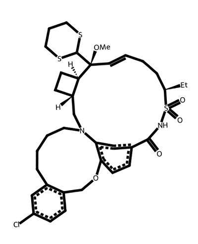 CC[C@@H]1CC/C=C/[C@@](OC)(C2SCCCS2)[C@@H]2CC[C@H]2CN2CCCCc3cc(Cl)ccc3COc3ccc(cc32)C(=O)NS1(=O)=O